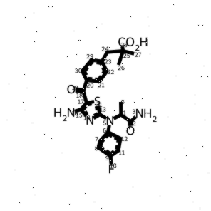 CC(C(N)=O)N(c1ccc(F)cc1)c1nc(N)c(C(=O)c2ccc(CC(C)(C)C(=O)O)cc2)s1